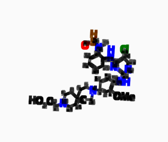 COc1cc(N2CCC3(CCN(CC(=O)O)CC3)CC2)ccc1Nc1ncc(Cl)c(Nc2ccccc2N(C)[SH]=O)n1